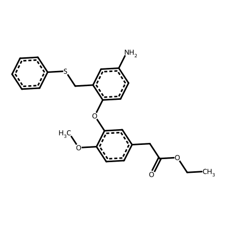 CCOC(=O)Cc1ccc(OC)c(Oc2ccc(N)cc2CSc2ccccc2)c1